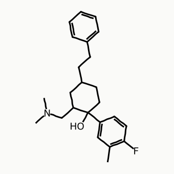 Cc1cc(C2(O)CCC(CCc3ccccc3)CC2CN(C)C)ccc1F